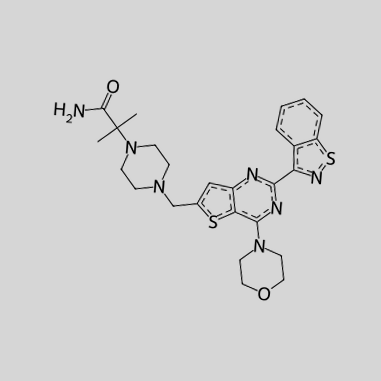 CC(C)(C(N)=O)N1CCN(Cc2cc3nc(-c4nsc5ccccc45)nc(N4CCOCC4)c3s2)CC1